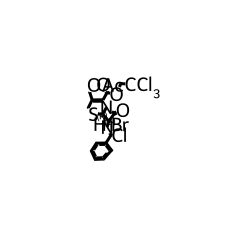 CC(=O)OCC1=C(C(=O)OCC(Cl)(Cl)Cl)N2C(=O)[C@@](Br)(N=C(Cl)c3ccccc3)[C@H]2SC1